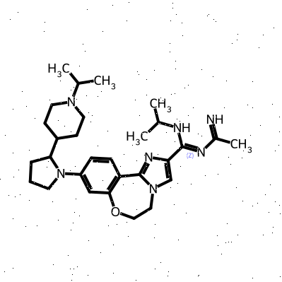 CC(=N)/N=C(\NC(C)C)c1cn2c(n1)-c1ccc(N3CCCC3C3CCN(C(C)C)CC3)cc1OCC2